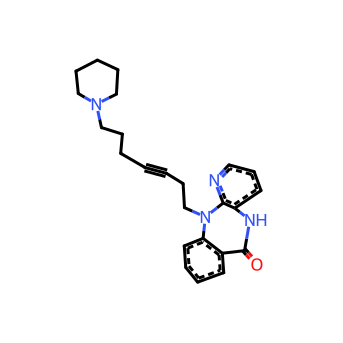 O=C1Nc2cccnc2N(CCC#CCCCN2CCCCC2)c2ccccc21